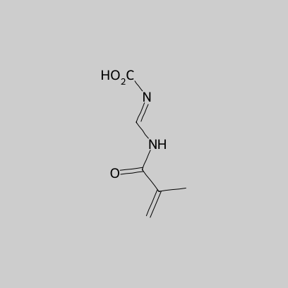 C=C(C)C(=O)NC=NC(=O)O